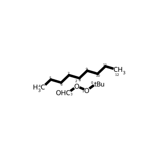 CC(C)(C)OOC=O.CCCCCCCCC